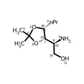 CCC[C@H]1OC(C)(C)O[C@H]1[C@@H](N)CO